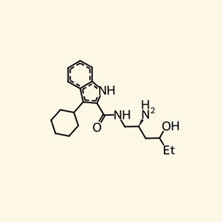 CCC(O)C[C@H](N)CNC(=O)c1[nH]c2ccccc2c1C1CCCCC1